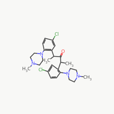 CC(C(=O)C(C)c1cc(Cl)ccc1N1CCN(C)CC1)c1cc(Cl)ccc1N1CCN(C)CC1